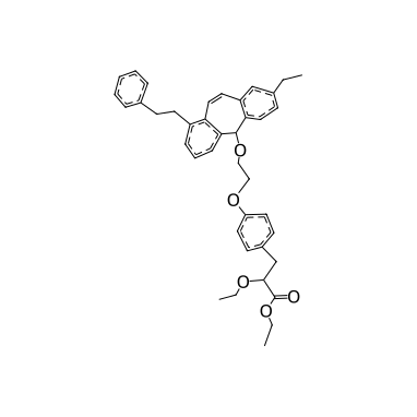 CCOC(=O)C(Cc1ccc(OCCOC2c3ccc(CC)cc3C=Cc3c(CCc4ccccc4)cccc32)cc1)OCC